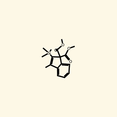 COC(=O)C1(C(=O)OC)C([Si](C)(C)C)=C(C)c2ccccc21